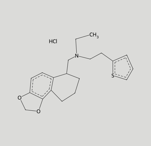 CCN(CCc1cccs1)CC1CCCc2c1ccc1c2OCO1.Cl